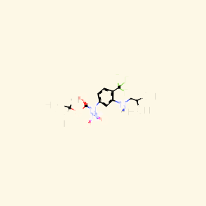 CC(C)CN(C)c1cc(N(C(=O)OC(C)(C)C)[N+](=O)[O-])ccc1C(F)(F)F